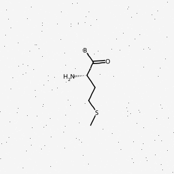 [B]C(=O)[C@@H](N)CCSC